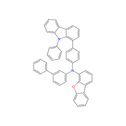 c1ccc(-c2cccc(N(c3ccc(-c4cccc5c6ccccc6n(-c6ccccc6)c45)cc3)c3cccc4c3oc3ccccc34)c2)cc1